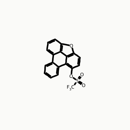 O=S(=O)(Oc1ccc2oc3cccc4c5ccccc5c1c2c34)C(F)(F)F